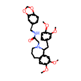 COc1ccc(CC2c3cc(OC)c(OC)cc3CCCN2CC(=O)NCc2ccc3c(c2)OCO3)cc1OC